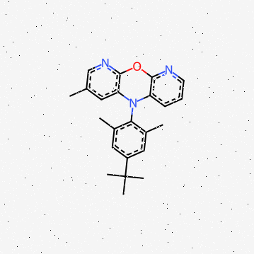 Cc1cnc2c(c1)N(c1c(C)cc(C(C)(C)C)cc1C)c1cccnc1O2